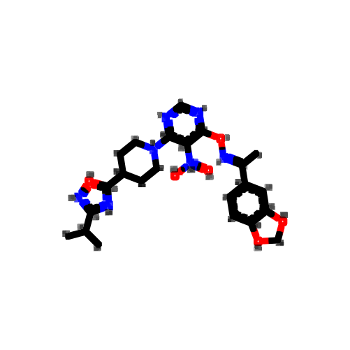 CC(=NOc1ncnc(N2CCC(c3nc(C(C)C)no3)CC2)c1[N+](=O)[O-])c1ccc2c(c1)OCO2